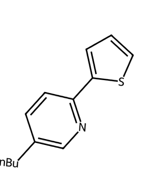 CCCCc1ccc(-c2cccs2)nc1